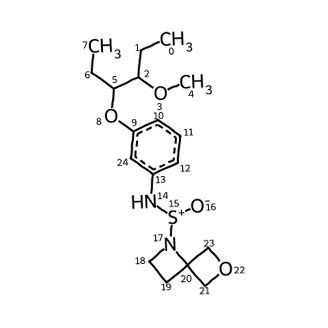 CCC(OC)C(CC)Oc1cccc(N[S+]([O-])N2CCC23COC3)c1